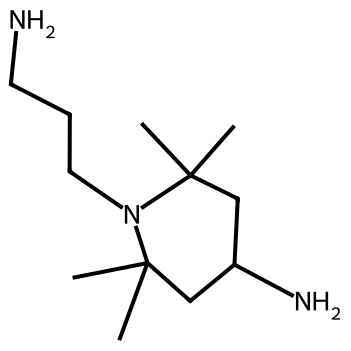 CC1(C)CC(N)CC(C)(C)N1CCCN